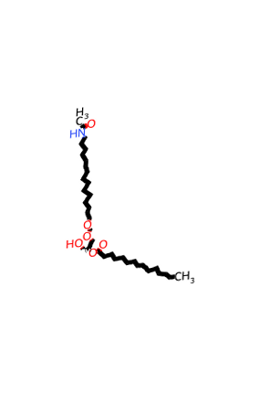 CCCCCCCCCCCCCCC(=O)O[C@H](CO)COCOCCCCCCCCCCCCCCCNC(C)=O